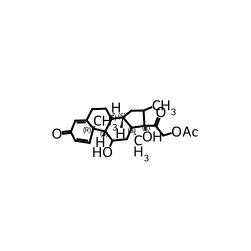 CC(=O)OCC(=O)[C@@]1(O)C(C)C[C@H]2[C@@H]3CCC4=CC(=O)C=C[C@]4(C)[C@H]3C(O)C[C@@]21C